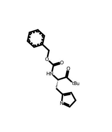 CC(C)(C)C(=O)[C@H](CC1=CCC=N1)NC(=O)OCc1ccccc1